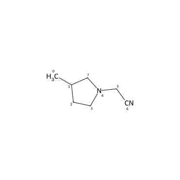 CC1CCN(CC#N)C1